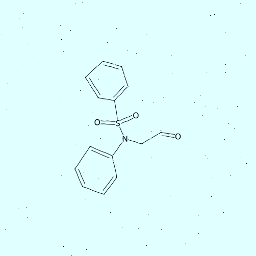 O=[C]CN(c1ccccc1)S(=O)(=O)c1ccccc1